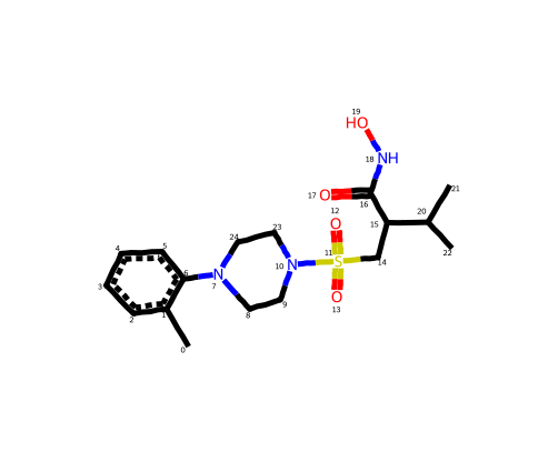 Cc1ccccc1N1CCN(S(=O)(=O)CC(C(=O)NO)C(C)C)CC1